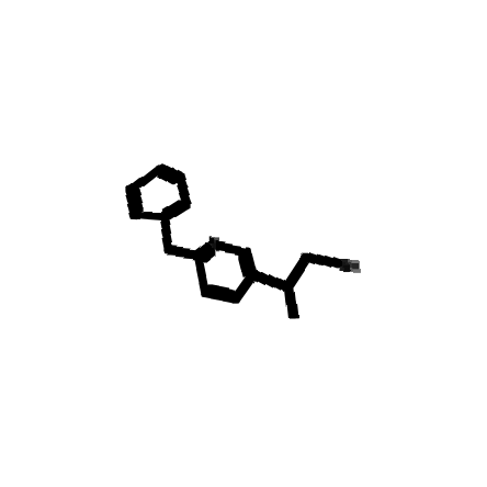 CC(CS)c1ccc(Cc2ccccc2)nc1